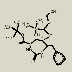 CCOC(O[C@@H]1CN(C(=O)OC(C)(C)C)NC(=O)N[C@@H]1Cc1ccccc1)[Si](C)(C)C